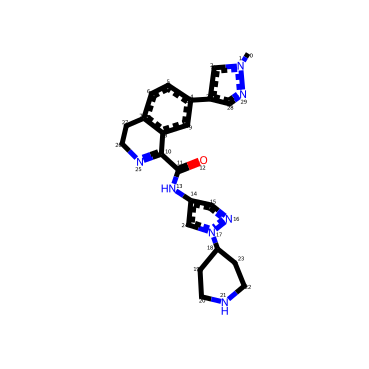 Cn1cc(-c2ccc3c(c2)C(C(=O)Nc2cnn(C4CCNCC4)c2)=NCC3)cn1